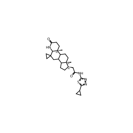 C[C@]12CCC(=O)NC1C1(CC1)CC1C2CC[C@@]2(C)C1CC[C@@H]2CC(=O)Nc1nnc(C2CC2)s1